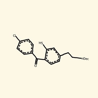 CCCCCCCCCCCCc1ccc(C(=O)c2ccc(Cl)cc2)c(S)c1